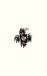 Fc1c(F)c(F)c(-c2c3nc(c(-c4c(F)c(F)c(F)c(F)c4F)c4ccc([nH]4)c(-c4c(F)c(F)c(F)c(F)c4F)c4nc(c(-c5c(F)c(F)c(F)c(F)c5F)c5ccc2[nH]5)C=C4)C=C3)c(F)c1F.[Ni+2]